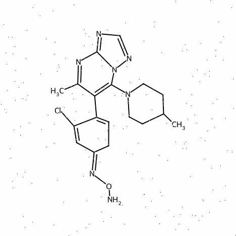 Cc1nc2ncnn2c(N2CCC(C)CC2)c1C1=CCC(=NON)C=C1Cl